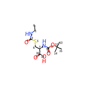 CCNC(=O)SCC(NC(=O)OC(C)(C)C)C(=O)O